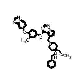 COCC1(NCc2ccccc2)CCN(Cc2ccn3ncnc(Nc4ccc(Oc5ccn6ncnc6c5)c(C)c4)c23)CC1